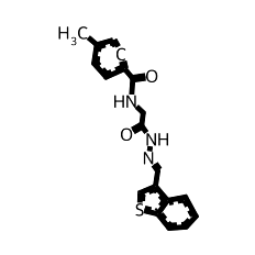 Cc1ccc(C(=O)NCC(=O)N/N=C/c2csc3ccccc23)cc1